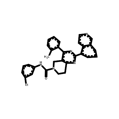 CCc1cccc(NC(=O)N2CCc3nc(-c4cccc5cnccc45)nc(-c4ccccc4C)c3C2)c1